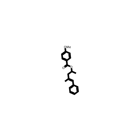 COc1ccc(C(=O)OC(C)CC(C)=Cc2ccccc2)cc1